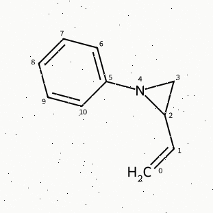 C=CC1CN1c1ccccc1